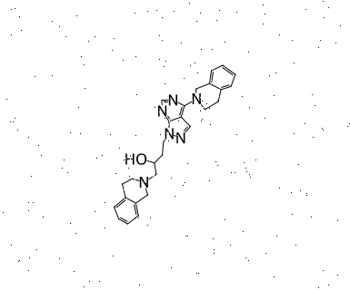 OC(CCn1ncc2c(N3CCc4ccccc4C3)ncnc21)CN1CCc2ccccc2C1